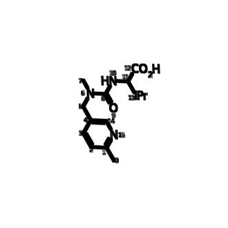 Cc1ccc(CN(C)C(=O)NC(C(=O)O)C(C)C)cn1